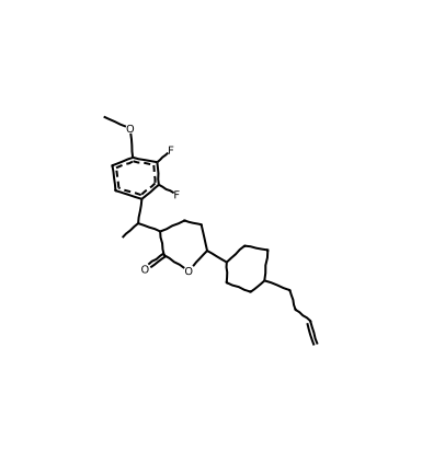 C=CCCC1CCC(C2CCC(C(C)c3ccc(OC)c(F)c3F)C(=O)O2)CC1